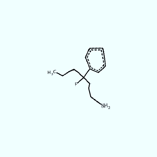 CCCC(F)([CH]CN)c1ccccc1